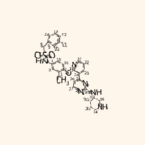 Cc1cc(NS(=O)(=O)Cc2ccccc2)ccc1Oc1ncccc1-c1ccnc(NC2CCCNC2)n1